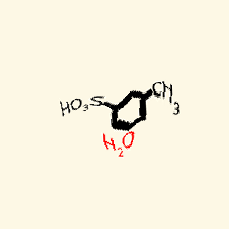 Cc1cccc(S(=O)(=O)O)c1.O